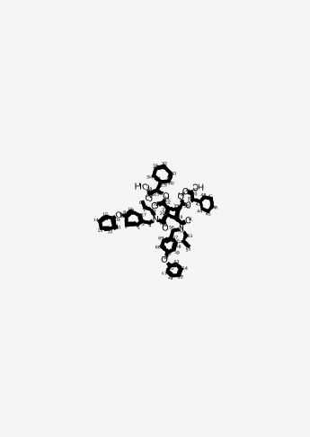 CCCN(Cc1ccc(Oc2ccccc2)cc1)C(=O)C1C(C(=O)OC(C(=O)O)C2CCCCC2)C(C(=O)OC(C(=O)O)C2CCCCC2)C1C(=O)N(CCC)Cc1ccc(Oc2ccccc2)cc1